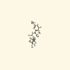 CC(CC(=O)c1cc(Br)ccc1I)O[Si](C)(C)C(C)(C)C